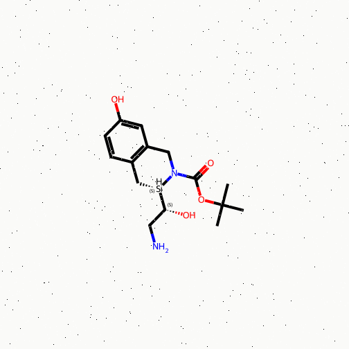 CC(C)(C)OC(=O)N1Cc2cc(O)ccc2C[Si@H]1[C@H](O)CN